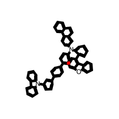 c1cc(-c2ccc(-c3ccc(N(c4ccc5c(ccc6ccccc65)c4)c4ccccc4-c4cccc5oc6ccccc6c45)cc3)cc2)cc(-n2c3ccccc3c3ccccc32)c1